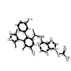 Cc1noc(C)c1-c1c(C)c(Cl)cc(C(C)Nc2ncnc3c2ncn3OC(=O)C(F)(F)F)c1-c1cccc(F)c1